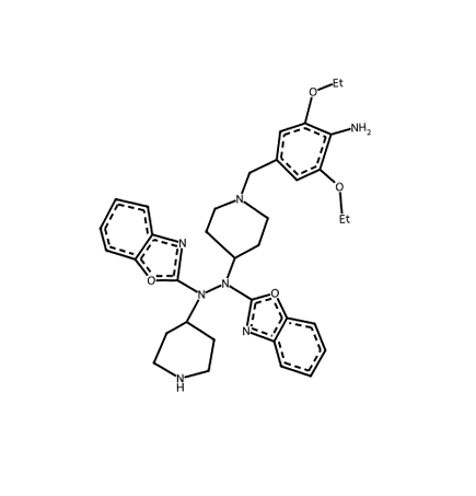 CCOc1cc(CN2CCC(N(c3nc4ccccc4o3)N(c3nc4ccccc4o3)C3CCNCC3)CC2)cc(OCC)c1N